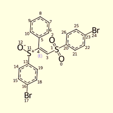 O=S(=O)(/C=C(\c1ccccc1)[S+]([O-])c1ccc(Br)cc1)c1ccc(Br)cc1